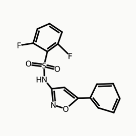 O=S(=O)(Nc1cc(-c2ccccc2)on1)c1c(F)cccc1F